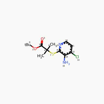 CC(C)(C)OC(=O)C(C)(C)Sc1nccc(Cl)c1N